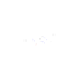 CC(C)n1cc2c(n1)C(=O)N(C)C2